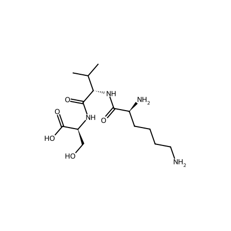 CC(C)[C@H](NC(=O)[C@@H](N)CCCCN)C(=O)N[C@@H](CO)C(=O)O